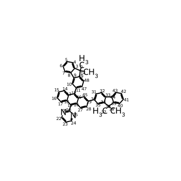 CC1(C)c2ccccc2-c2cc(-c3c4ccccc4c(-c4ncccn4)c4ccc(-c5ccc6c(c5)C(C)(C)c5ccccc5-6)cc34)ccc21